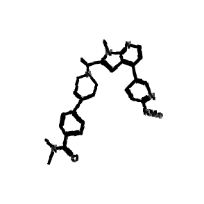 CNc1ccc(-c2ccnc3c2cc(C(C)N2CCC(c4ccc(C(=O)N(C)C)cc4)CC2)n3C)cn1